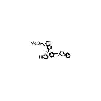 COCCCN1CCOc2ccc(CO[C@H]3CNCC[C@@H]3c3ccc(CN[C@@H]4CCN(c5ccccc5)C4)cc3)cc21